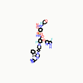 CC(C)c1ccccc1[C@@H]1CN(Cc2cnn(C)c2)CCN1C1CC2(CCN(c3cc(Oc4cnc5[nH]cc(F)c5c4)c(C(=O)NS(=O)(=O)c4ccc(NCC5(F)CCOCC5)c(O)c4)cc3F)CC2)C1